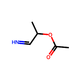 CC(=O)OC(C)C=N